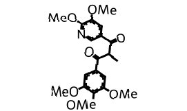 COc1cc(C(=O)C(C)C(=O)c2cc(OC)c(OC)c(OC)c2)cnc1OC